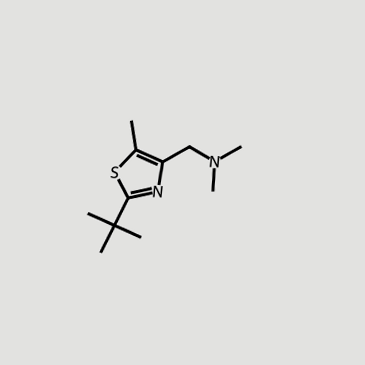 Cc1sc(C(C)(C)C)nc1CN(C)C